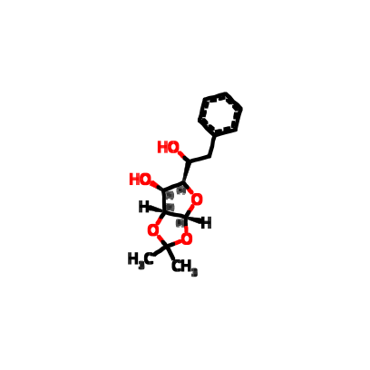 CC1(C)O[C@H]2O[C@H](C(O)Cc3ccccc3)[C@H](O)[C@H]2O1